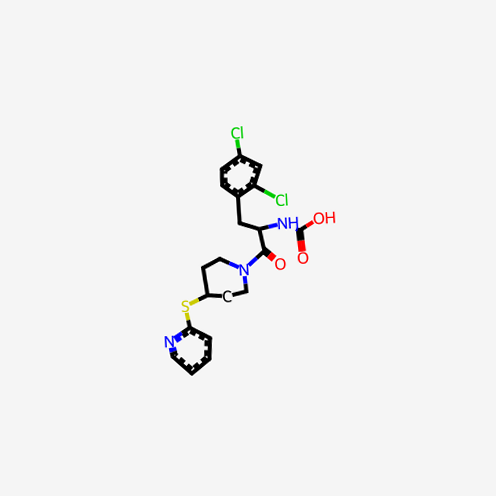 O=C(O)NC(Cc1ccc(Cl)cc1Cl)C(=O)N1CCC(Sc2ccccn2)CC1